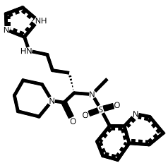 CN([C@@H](CCCNc1ncc[nH]1)C(=O)N1CCCCC1)S(=O)(=O)c1cccc2cccnc12